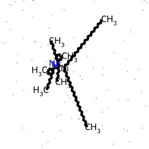 CCCCCCCCCCCCCCCCCCCCCCC[CH2][Ni][CH2]CCCCCCCCCCCCCCCCCCCCCCC.CCCCCCc1cc(C)cc(C2=CC(CCCCC)=C(c3cc(C)cc(CCCCCC)c3)[N+]2=[N-])c1